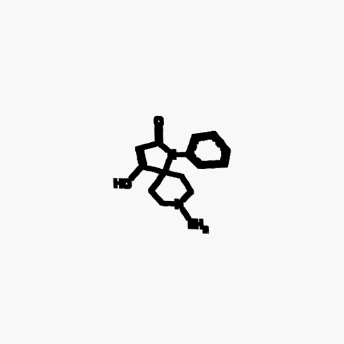 BN1CCC2(CC1)C(O)=CC(=O)N2c1ccccc1